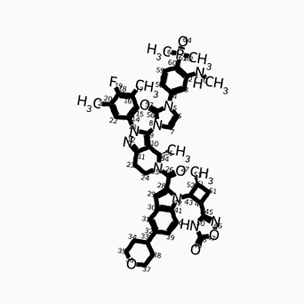 CNc1cc(-n2ccn(-c3c4c(nn3-c3cc(C)c(F)c(C)c3)CCN(C(=O)c3cc5cc(C6CCOCC6)ccc5n3C3C(c5noc(=O)[nH]5)C[C@@H]3C)[C@H]4C)c2=O)ccc1P(C)(C)=O